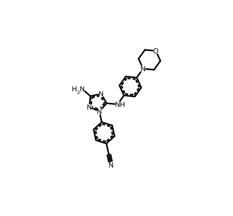 N#Cc1ccc(-n2nc(N)nc2Nc2ccc(N3CCOCC3)cc2)cc1